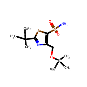 COC(C)(C)c1nc(CO[Si](C)(C)C(C)(C)C)c(S(N)(=O)=O)s1